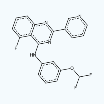 Fc1cccc2nc(-c3cccnc3)nc(Nc3cccc(OC(F)F)c3)c12